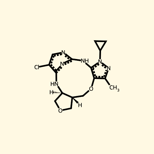 Cc1nn(C2CC2)c2c1OC[C@@H]1COC[C@H]1Nc1nc(ncc1Cl)N2